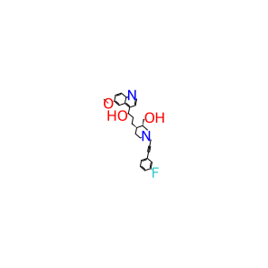 COc1ccc2nccc([C@H](O)CC[C@@H]3CCN(CC#Cc4cccc(F)c4)C[C@@H]3CO)c2c1